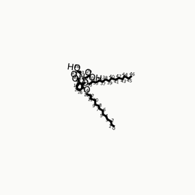 CCCCCCCCCCCCCCOc1cccc(C(=O)N(CC(=O)O)CC(=O)O)c1OCCCCCCCCCCCCCC